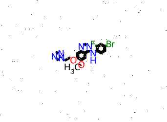 COc1cc2c(Nc3ccc(Br)cc3F)ncnc2cc1OCCn1cncn1